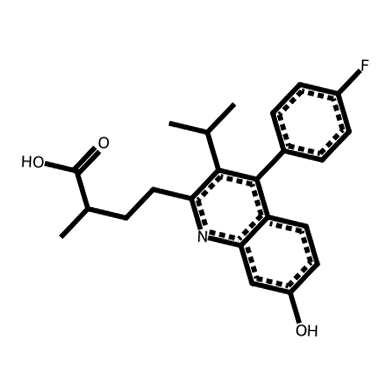 CC(CCc1nc2cc(O)ccc2c(-c2ccc(F)cc2)c1C(C)C)C(=O)O